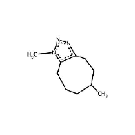 CC1CCCc2c(nnn2C)CC1